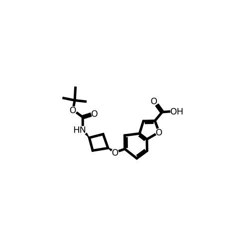 CC(C)(C)OC(=O)N[C@H]1C[C@@H](Oc2ccc3oc(C(=O)O)cc3c2)C1